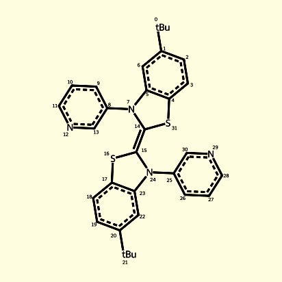 CC(C)(C)c1ccc2c(c1)N(c1cccnc1)/C(=C1\Sc3ccc(C(C)(C)C)cc3N1c1cccnc1)S2